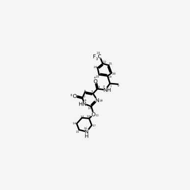 CC(NC(=O)c1cc(=O)[nH]c(OC2CCCNC2)n1)c1ccc(C(F)(F)F)cc1